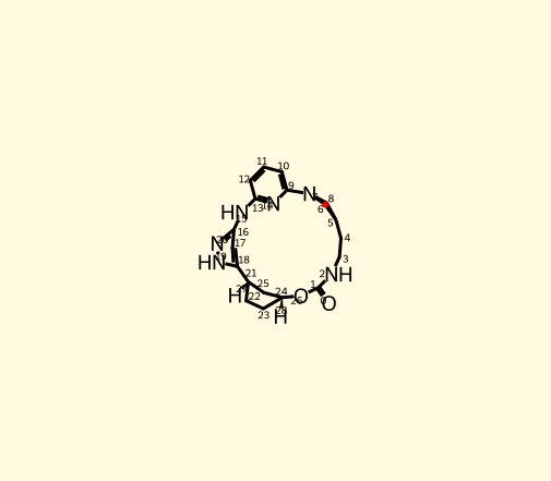 O=C1NCCC2CN(C2)c2cccc(n2)Nc2cc([nH]n2)[C@H]2CC[C@H](C2)O1